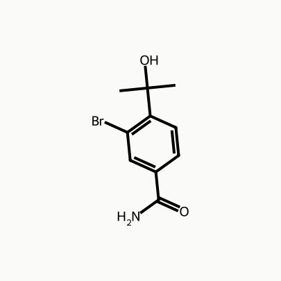 CC(C)(O)c1ccc(C(N)=O)cc1Br